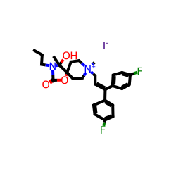 CCCN1C(=O)OC2(CC[N+](C)(CC=C(c3ccc(F)cc3)c3ccc(F)cc3)CC2)C1(C)O.[I-]